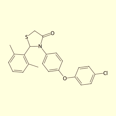 Cc1cccc(C)c1C1SCC(=O)N1c1ccc(Oc2ccc(Cl)cc2)cc1